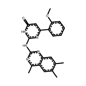 COc1ccccc1-c1cc(=O)[nH]c(Nc2nc(C)c3cc(C)c(C)cc3n2)n1